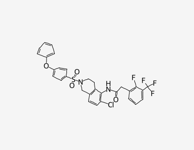 O=C(Cc1cccc(C(F)(F)F)c1F)Nc1c(Cl)ccc2c1CCN(S(=O)(=O)c1ccc(Oc3ccccc3)cc1)C2